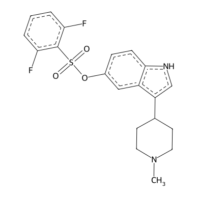 CN1CCC(c2c[nH]c3ccc(OS(=O)(=O)c4c(F)cccc4F)cc23)CC1